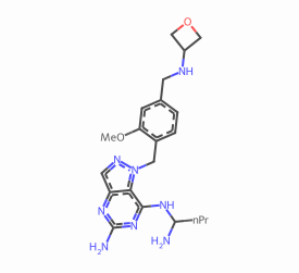 CCCC(N)Nc1nc(N)nc2cnn(Cc3ccc(CNC4COC4)cc3OC)c12